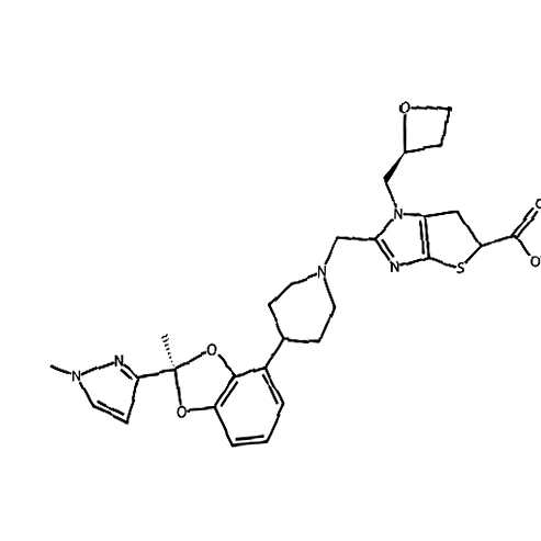 Cn1ccc([C@]2(C)Oc3cccc(C4CCN(Cc5nc6c(n5C[C@@H]5CCO5)CC(C(=O)O)S6)CC4)c3O2)n1